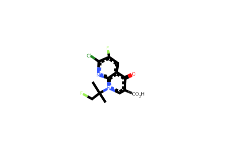 CC(C)(CF)n1cc(C(=O)O)c(=O)c2cc(F)c(Cl)nc21